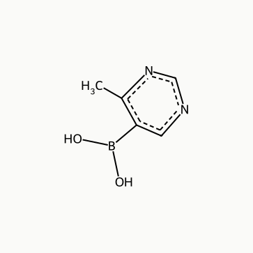 Cc1ncncc1B(O)O